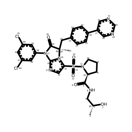 C[C@@H](O)CNC(=O)[C@@H]1CCCN1S(=O)(=O)c1cnc2n1[C@](C)(Cc1ccc(-c3cncnc3)cc1)C(=O)N2c1cc(Cl)cc(Cl)c1